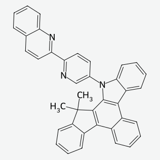 CC1(C)c2ccccc2-c2c1c1c(c3ccccc23)c2ccccc2n1-c1ccc(-c2ccc3ccccc3n2)nc1